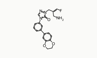 NC/C(=C\F)Cn1ncn(-c2cccc(-c3ccc4c(c3)OCCO4)c2)c1=O